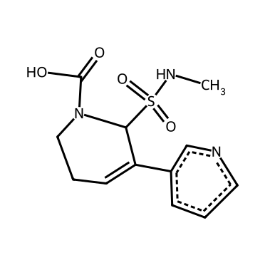 CNS(=O)(=O)C1C(c2cccnc2)=CCCN1C(=O)O